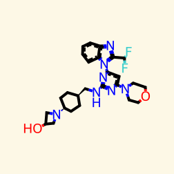 OC1CN([C@H]2CC[C@H](CNc3nc(N4CCOCC4)cc(-n4c(C(F)F)nc5ccccc54)n3)CC2)C1